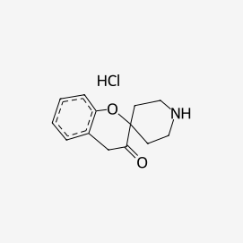 Cl.O=C1Cc2ccccc2OC12CCNCC2